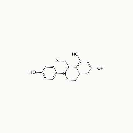 Oc1ccc(N2C=Cc3cc(O)cc(O)c3C2C=S)cc1